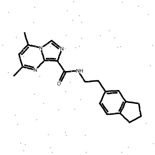 Cc1cc(C)n2cnc(C(=O)NCCc3ccc4c(c3)CCC4)c2n1